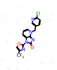 O=c1nc2n(Cc3ccc(Cl)nc3)cccc-2n1-c1nc(C(F)(F)F)co1